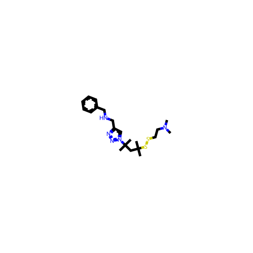 CN(C)CCSSC(C)(C)CC(C)(C)n1cc(CNCc2ccccc2)nn1